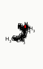 CC1(C)CCN(C(C)(C)CCC(C#N)C(=O)N2CCC[C@H](OC(=O)N[C@@H](Cc3ccc(C(F)(F)F)cc3)B3O[C@@H]4C[C@@H]5C[C@@H](C5(C)C)[C@]4(C)O3)C2)C1